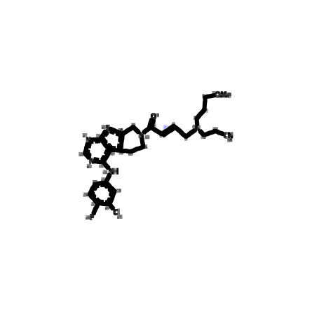 COCCCN(C/C=C/C(=O)N1CCc2c(sc3ncnc(Nc4ccc(F)c(Cl)c4)c23)C1)CCC#N